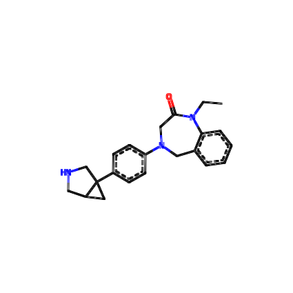 CCN1C(=O)CN(c2ccc(C34CNCC3C4)cc2)Cc2ccccc21